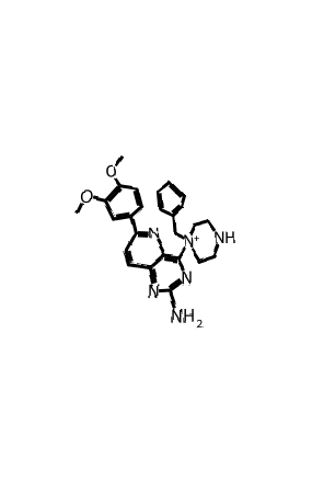 COc1ccc(-c2ccc3nc(N)nc([N+]4(Cc5ccccc5)CCNCC4)c3n2)cc1OC